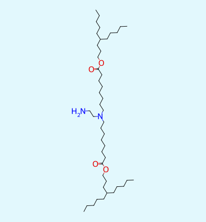 CCCCCC(CCCCC)CCCOC(=O)CCCCCCCN(CCN)CCCCCCCC(=O)OCCCC(CCCCC)CCCCC